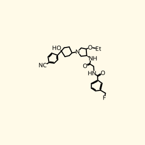 CCOC1CN(C2CCC(O)(c3ccc(C#N)cc3)CC2)C[C@@H]1NC(=O)CNC(=O)c1cccc(CF)c1